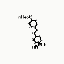 CCCCCCCC1CCC(CCC2CCC(C#N)(CCC)CC2)CC1